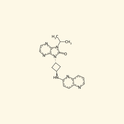 CC(C)n1c(=O)n([C@H]2C[C@H](Nc3ccc4ncccc4n3)C2)c2nccnc21